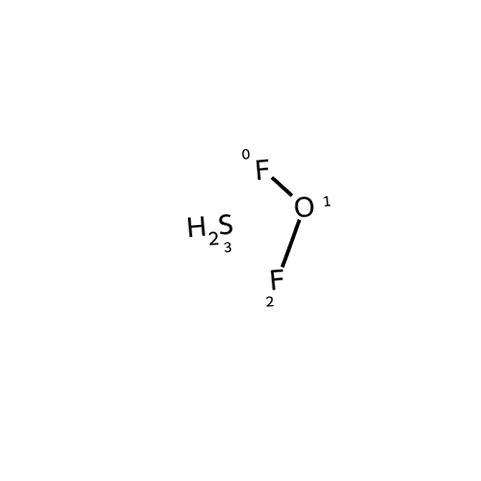 FOF.S